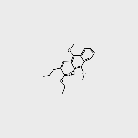 CCC/C(=C/c1c(Cl)c(OC)c2ccccc2c1OC)C(=O)OCC